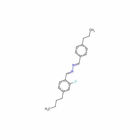 CCCCc1ccc(C=NN=Cc2ccc(CCC)cc2)c(F)c1